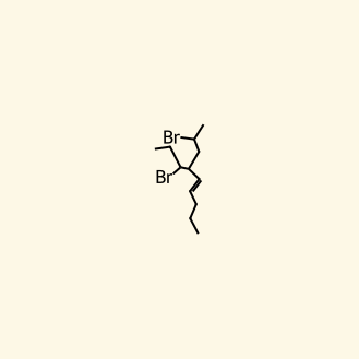 CCCC=CC(CC(C)Br)C(Br)CC